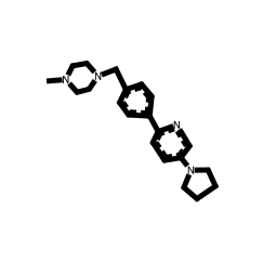 CN1CCN(Cc2ccc(-c3ccc(N4CCCC4)cn3)cc2)CC1